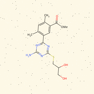 COC(=O)c1cc(-c2nc(N)nc(SCC(O)CO)n2)c(C)cc1C